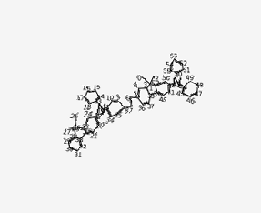 CC1(C)c2cc(/C=C/c3ccc(N(c4ccccc4)c4ccc5c(c4)C(C)(C)c4ccccc4-5)cc3)ccc2-c2ccc(N(C3=CC=CCC3)c3ccccc3)cc21